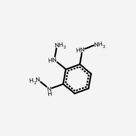 NNc1cccc(NN)c1NN